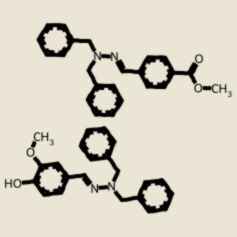 COC(=O)c1ccc(/C=N/N(Cc2ccccc2)Cc2ccccc2)cc1.COc1cc(/C=N/N(Cc2ccccc2)Cc2ccccc2)ccc1O